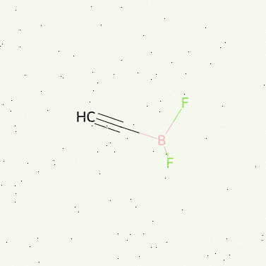 C#CB(F)F